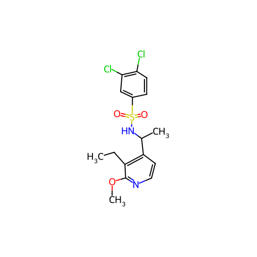 CCc1c(C(C)NS(=O)(=O)c2ccc(Cl)c(Cl)c2)ccnc1OC